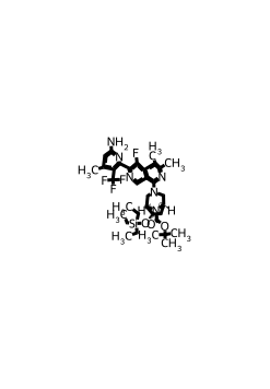 CC[Si](CC)(CC)O[C@@H]1C[C@@H]2CN(c3nc(C)c(C)c4c(F)c(-c5nc(N)cc(C)c5C(F)(F)F)ncc34)C[C@H]1N2C(=O)OC(C)(C)C